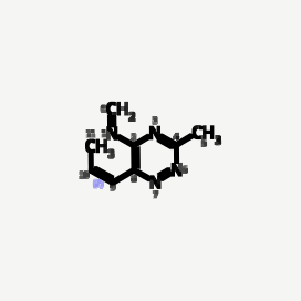 C=Nc1nc(C)nnc1/C=C\C